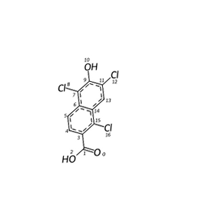 O=C(O)c1ccc2c(Cl)c(O)c(Cl)cc2c1Cl